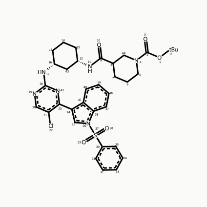 CC(C)(C)OC(=O)N1CCCC(C(=O)N[C@H]2CCC[C@@H](Nc3ncc(Cl)c(-c4cn(S(=O)(=O)c5ccccc5)c5ccccc45)n3)C2)C1